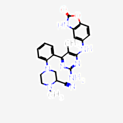 Cc1c(Nc2ccc3oc(=O)[nH]c3c2)nc(N)nc1-c1ccccc1N1CCN(C)C(C#N)C1